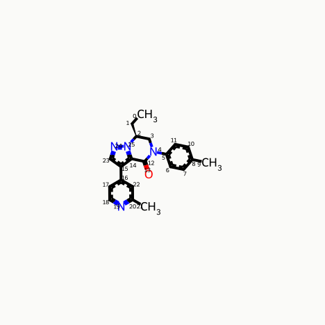 CC[C@H]1CN(c2ccc(C)cc2)C(=O)c2c(-c3ccnc(C)c3)cnn21